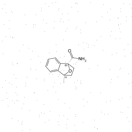 C[C@@]12CC[C@@](C(N)=O)(O1)c1ccccc12